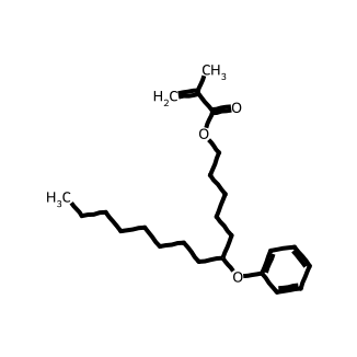 C=C(C)C(=O)OCCCCCC(CCCCCCCC)Oc1ccccc1